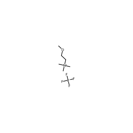 COCC[N+](C)(C)C.F[B-](F)(F)F